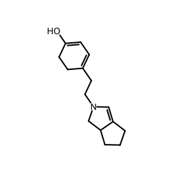 OC1=CC=C(CCN2C=C3CCCC3C2)CC1